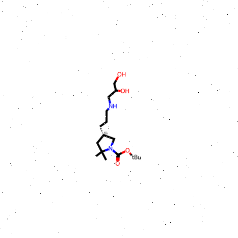 CC(C)(C)OC(=O)N1C[C@@H](CCCNCC(O)CO)CC1(C)C